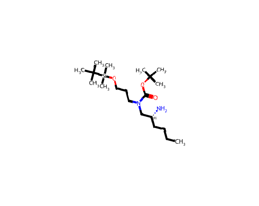 CCCC[C@@H](N)CN(CCCO[Si](C)(C)C(C)(C)C)C(=O)OC(C)(C)C